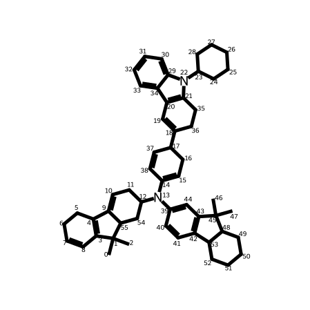 CC1(C)C2=C(CCC=C2)C2=CCC(N(C3=CCC(C4=Cc5c(n(C6CCCCC6)c6ccccc56)CC4)C=C3)c3ccc4c(c3)C(C)(C)C3CCCCC43)CC21